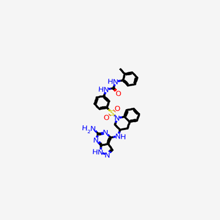 Cc1ccccc1NC(=O)Nc1cccc(S(=O)(=O)N2CC(Nc3nc(N)nc4[nH]ncc34)Cc3ccccc32)c1